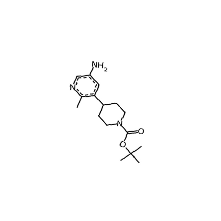 Cc1ncc(N)cc1C1CCN(C(=O)OC(C)(C)C)CC1